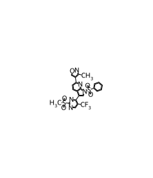 Cc1nocc1-c1ccc2c(-c3nc(S(C)(=O)=O)ncc3C(F)(F)F)cn(S(=O)(=O)c3ccccc3)c2n1